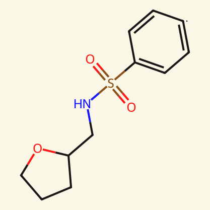 O=S(=O)(NCC1CCCO1)c1cc[c]cc1